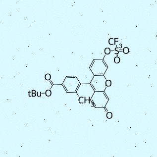 Cc1cc(C(=O)OC(C)(C)C)ccc1-c1c2ccc(=O)cc-2oc2cc(OS(=O)(=O)C(F)(F)F)ccc12